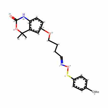 COc1ccc(SON=CCCCOc2ccc3c(c2)C(C)(C)OC(=O)N3)cc1